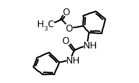 CC(=O)Oc1ccccc1NC(=O)Nc1ccccc1